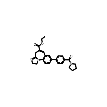 CCOC(=O)C1=Cc2cc(-c3ccc(C(=O)N4CCCC4)cc3)ccc2N2CCN=C2C1